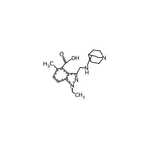 CCn1nc(CNC2CN3CCC2CC3)c2c(C(=O)O)c(C)ccc21